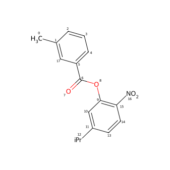 Cc1cccc(C(=O)Oc2cc(C(C)C)ccc2[N+](=O)[O-])c1